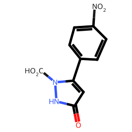 O=C(O)n1[nH]c(=O)cc1-c1ccc([N+](=O)[O-])cc1